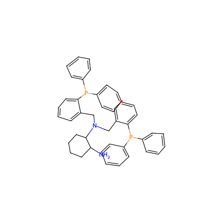 NC1CCCCC1N(Cc1ccccc1P(c1ccccc1)c1ccccc1)Cc1ccccc1P(c1ccccc1)c1ccccc1